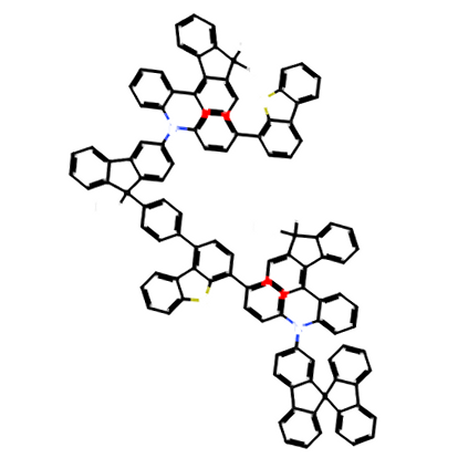 CC1(C)c2ccccc2-c2c(-c3ccccc3N(c3ccc(-c4cccc5c4sc4ccccc45)cc3)c3ccc4c(c3)-c3ccccc3C4(C)c3ccc(-c4ccc(-c5ccc(N(c6ccc7c(c6)C6(c8ccccc8-c8ccccc86)c6ccccc6-7)c6ccccc6-c6cccc7c6-c6ccccc6C7(C)C)cc5)c5sc6ccccc6c45)cc3)cccc21